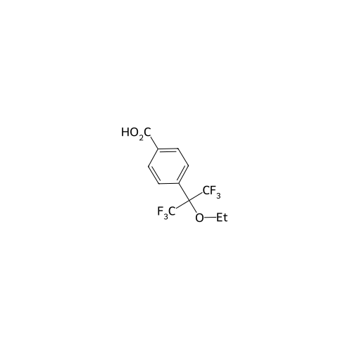 CCOC(c1ccc(C(=O)O)cc1)(C(F)(F)F)C(F)(F)F